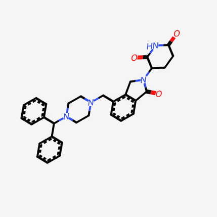 O=C1CCC(N2Cc3c(CN4CCN(C(c5ccccc5)c5ccccc5)CC4)cccc3C2=O)C(=O)N1